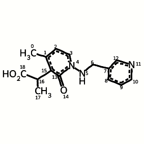 Cc1ccn(NCc2cccnc2)c(=O)c1C(C)C(=O)O